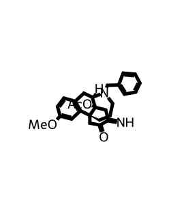 COc1ccc2c(c1)[C@]13CCCN(Cc4ccccc4)[C@H](C2)[C@]1(OC(C)=O)CC(=N)C(=O)C3